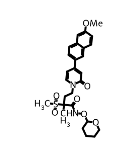 COc1ccc2cc(-c3ccn(CCC(C)(C(=O)NOC4CCCCO4)S(C)(=O)=O)c(=O)c3)ccc2c1